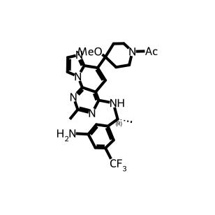 COC1(c2cc3c(N[C@H](C)c4cc(N)cc(C(F)(F)F)c4)nc(C)nc3n3ccnc23)CCN(C(C)=O)CC1